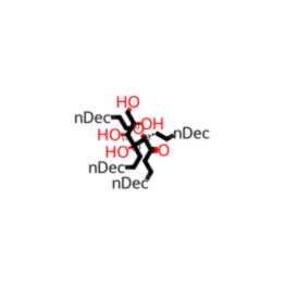 CCCCCCCCCCCCO[C@@](CCCCCCCCCCCC)(C(=O)CCCCCCCCCCCC)[C@](O)(CCCCCCCCCCCC)[C@@H](O)[C@H](O)CO